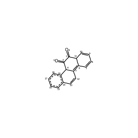 O=C1C(=O)C2C(=C3C=CC=CC13)C=Cc1ccccc12